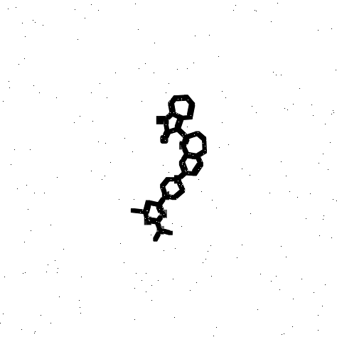 Cc1cc(N2CCN(c3ccc4c(c3)N=C(c3c5cccccc-5[nH]c3=O)CCC4)CC2)nc(N(C)C)n1